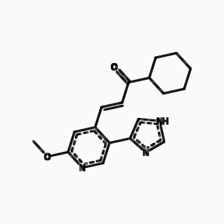 COc1cc(/C=C/C(=O)C2CCCCC2)c(-c2c[nH]cn2)cn1